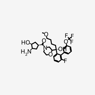 COCCCC[C@@](O)(c1cccc(F)c1-c1cccc(OC(F)(F)F)c1)C1CN(C(=O)[C@H]2C[C@@H](N)[C@@H](O)C2)CCO1